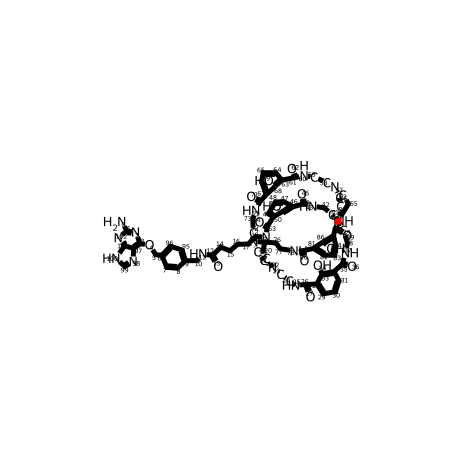 Nc1nc(OCc2ccc(CNC(=O)CCCCCN3CCN4CCNC(=O)c5cccc(c5O)C(=O)NCCN(CCNC(=O)c5cccc(c5O)C3=O)CCN3CCNC(=O)c5cccc(c5O)C(=O)NCCN(CCNC(=O)c5cccc(c5O)C(=O)NCC3)CC4)cc2)c2nc[nH]c2n1